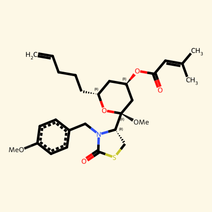 C=CCCC[C@@H]1C[C@@H](OC(=O)C=C(C)C)C[C@](OC)([C@@H]2CSC(=O)N2Cc2ccc(OC)cc2)O1